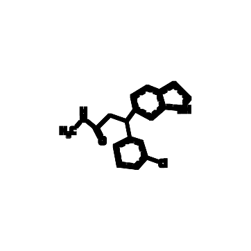 CNC(=O)CC(c1cccc(Cl)c1)c1ccc2cc[nH]c2c1